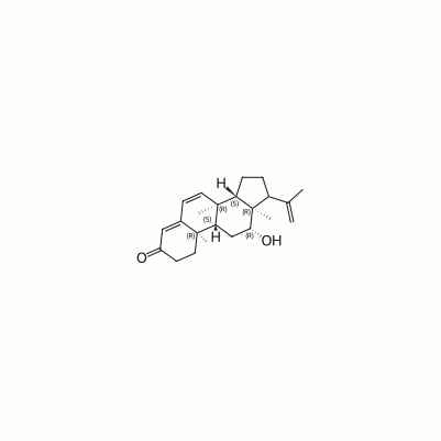 C=C(C)C1CC[C@H]2[C@]3(C)C=CC4=CC(=O)CC[C@]4(C)[C@H]3C[C@@H](O)[C@]12C